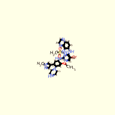 COc1cc(N2CCNCC2)c(-c2cnn(C)c2)cc1Nc1ncc(Br)c(Nc2ccc3nccnc3c2NS(C)(=O)=O)n1